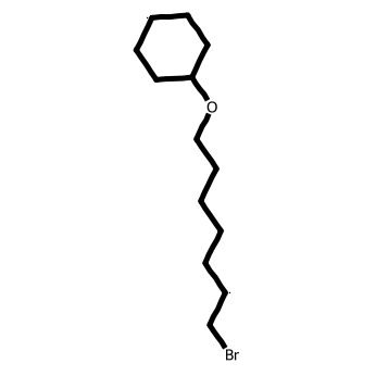 BrC[CH]CCCCCOC1CC[CH]CC1